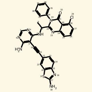 CC(Nc1ncnc(N)c1C#Cc1ccc2nc(N)sc2c1)c1nc2cccc(Cl)c2c(=O)n1-c1ccccc1